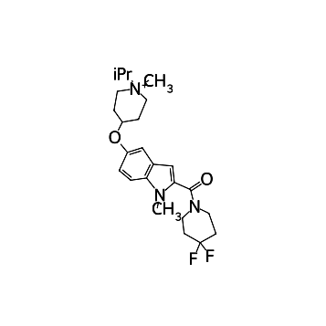 CC(C)[N+]1(C)CCC(Oc2ccc3c(c2)cc(C(=O)N2CCC(F)(F)CC2)n3C)CC1